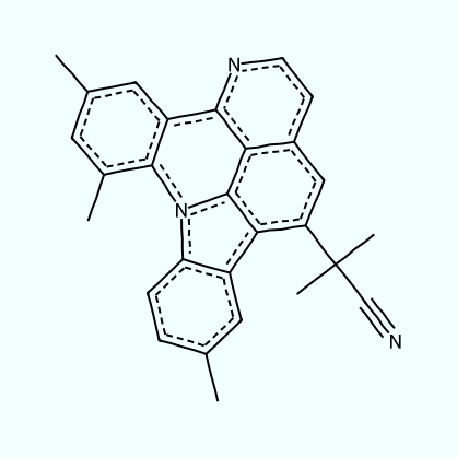 Cc1ccc2c(c1)c1c(C(C)(C)C#N)cc3ccnc4c5cc(C)cc(C)c5n2c1c34